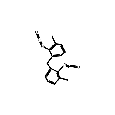 Cc1cccc(Cc2cccc(C)c2N=C=O)c1N=C=O